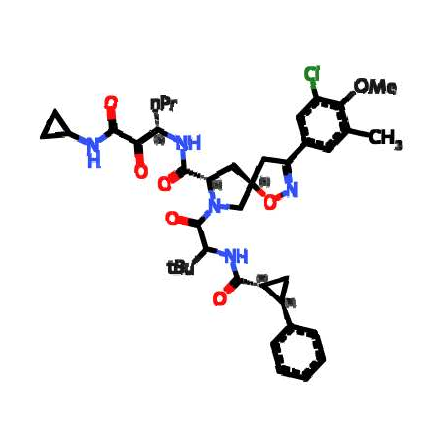 CCC[C@H](NC(=O)[C@@H]1C[C@]2(CC(c3cc(C)c(OC)c(Cl)c3)=NO2)CN1C(=O)C(NC(=O)[C@@H]1C[C@H]1c1ccccc1)C(C)(C)C)C(=O)C(=O)NC1CC1